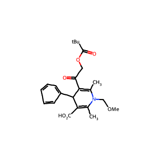 COCN1C(C)=C(C(=O)O)C(c2ccccc2)C(C(=O)COC(=O)C(C)(C)C)=C1C